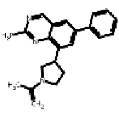 C=C(C)N1CCC(c2cc(-c3ccccc3)cc3cnc(P)nc23)C1